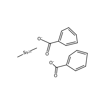 O=C([O-])c1ccccc1.O=C([O-])c1ccccc1.[CH3][Sn+2][CH3]